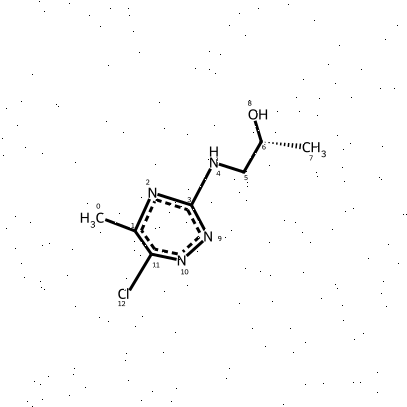 Cc1nc(NC[C@@H](C)O)nnc1Cl